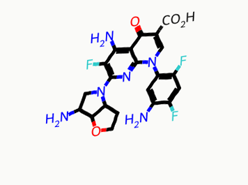 Nc1cc(-n2cc(C(=O)O)c(=O)c3c(N)c(F)c(N4CC(N)C5OCCC54)nc32)c(F)cc1F